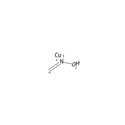 C=NO.[Cu]